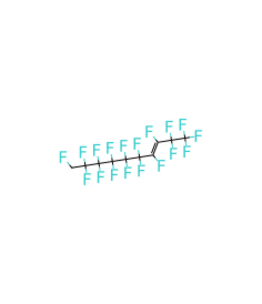 FCC(F)(F)C(F)(F)C(F)(F)C(F)(F)C(F)(F)C(F)=C(F)C(F)(F)C(F)(F)F